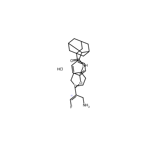 Cl.NC/C(=C\F)COc1ccc(C23CC4CC(C2)C(C(=O)NC2CCOCC2)C(C4)C3)cc1